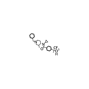 CC1CN(Cc2ccccc2)CC[C@@H]1N(C(=O)c1ccc([C@](C)(O)C(F)(F)F)cc1)C1CC1